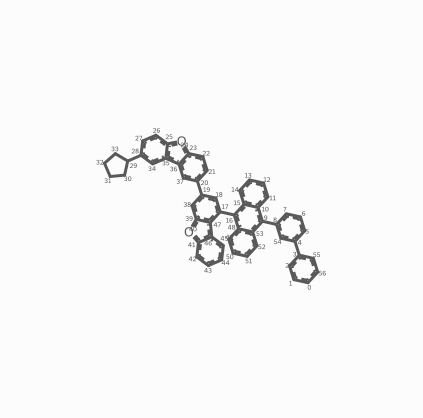 c1ccc(-c2cccc(-c3c4ccccc4c(-c4cc(-c5ccc6oc7ccc(C8CCCC8)cc7c6c5)cc5oc6ccccc6c45)c4ccccc34)c2)cc1